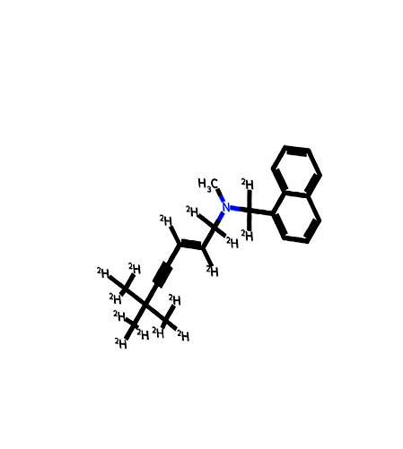 [2H]/C(C#CC(C([2H])([2H])[2H])(C([2H])([2H])[2H])C([2H])([2H])[2H])=C(/[2H])C([2H])([2H])N(C)C([2H])([2H])c1cccc2ccccc12